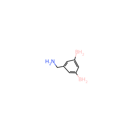 Bc1cc(B)cc(CN)c1